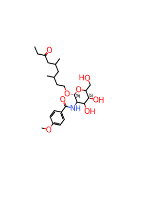 CCC(=O)CC(C)CC(C)CCO[C@@H]1OC(CO)[C@@H](O)C(O)C1NC(=O)c1ccc(OC)cc1